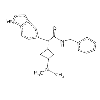 CN(C)C1CC(C(C(=O)NCc2ccccc2)c2ccc3[nH]ccc3c2)C1